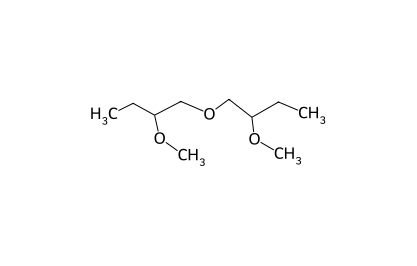 CCC(COCC(CC)OC)OC